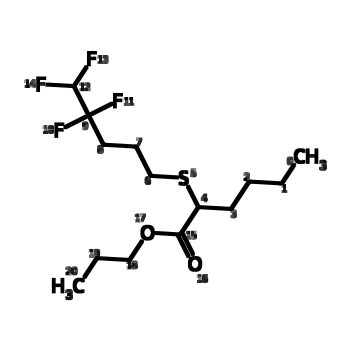 CCCCC(SCCCC(F)(F)C(F)F)C(=O)OCCC